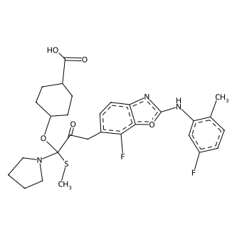 CSC(OC1CCC(C(=O)O)CC1)(C(=O)Cc1ccc2nc(Nc3cc(F)ccc3C)oc2c1F)N1CCCC1